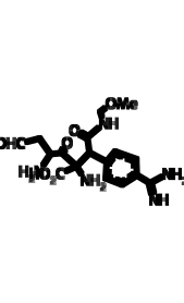 COCNC(=O)C(c1ccc(C(=N)N)cc1)C(N)(C(=O)O)C(=O)C(N)CC=O